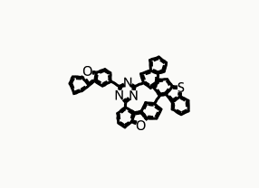 c1ccc2cc(-c3nc(-c4ccc5oc6ccccc6c5c4)nc(-c4cccc5oc6ccc(-c7cccc8sc9ccccc9c78)cc6c45)n3)ccc2c1